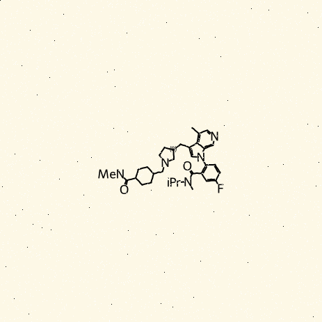 CNC(=O)C1CCC(CN2CC[C@@H](Cc3cn(-c4ccc(F)cc4C(=O)N(C)C(C)C)c4cncc(C)c34)C2)CC1